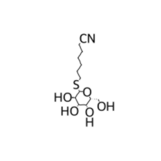 N#CCCCCCCS[C@@H]1O[C@H](CO)[C@H](O)[C@H](O)[C@H]1O